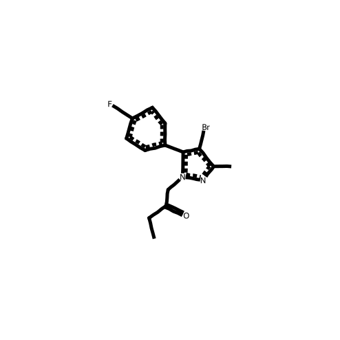 CCC(=O)Cn1nc(C)c(Br)c1-c1ccc(F)cc1